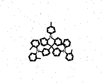 Cc1ccc(N2c3ccccc3C(c3cccc(N(c4ccccc4C)c4ccccc4C)c3)(c3cccc(N(c4ccccc4C)c4ccccc4C)c3)c3cc(C)ccc32)cc1